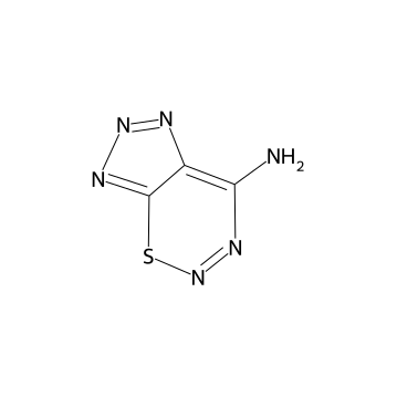 Nc1nnsc2nnnc1-2